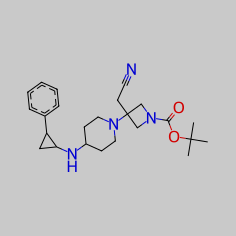 CC(C)(C)OC(=O)N1CC(CC#N)(N2CCC(NC3CC3c3ccccc3)CC2)C1